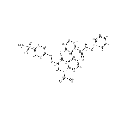 NS(=O)(=O)c1ccc(CCN(CCC(=O)O)C(=O)c2ccccc2-c2ccccc2C(=O)NCc2ccccn2)cc1